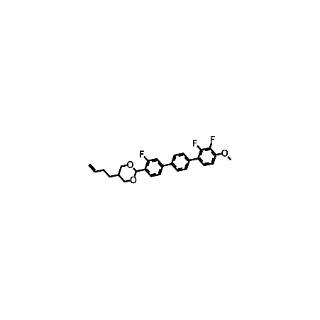 C=CCCC1COC(c2ccc(-c3ccc(-c4ccc(OC)c(F)c4F)cc3)cc2F)OC1